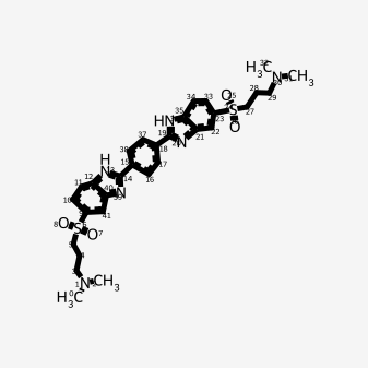 CN(C)CCCS(=O)(=O)c1ccc2[nH]c(-c3ccc(-c4nc5cc(S(=O)(=O)CCCN(C)C)ccc5[nH]4)cc3)nc2c1